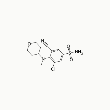 CN(c1c(Cl)cc(S(N)(=O)=O)cc1C#N)C1CCOCC1